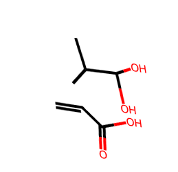 C=CC(=O)O.CC(C)C(O)O